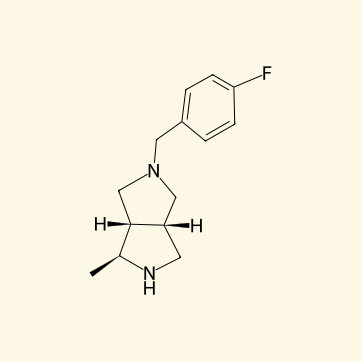 C[C@@H]1NC[C@H]2CN(Cc3ccc(F)cc3)C[C@H]21